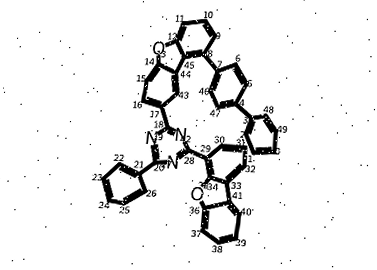 c1ccc(-c2ccc(-c3cccc4oc5ccc(-c6nc(-c7ccccc7)nc(-c7cccc8c7oc7ccccc78)n6)cc5c34)cc2)cc1